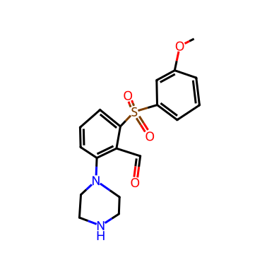 COc1cccc(S(=O)(=O)c2cccc(N3CCNCC3)c2C=O)c1